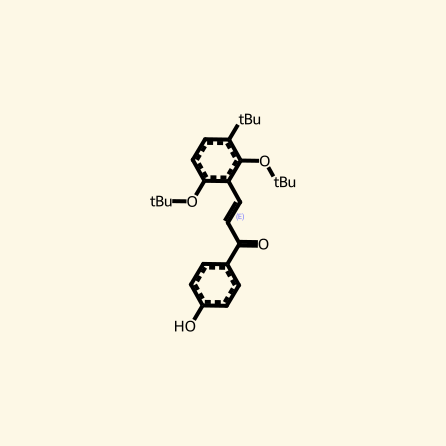 CC(C)(C)Oc1ccc(C(C)(C)C)c(OC(C)(C)C)c1/C=C/C(=O)c1ccc(O)cc1